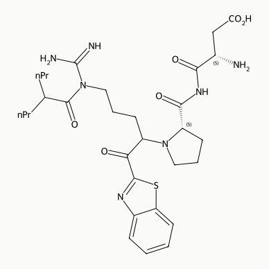 CCCC(CCC)C(=O)N(CCCC(C(=O)c1nc2ccccc2s1)N1CCC[C@H]1C(=O)NC(=O)[C@@H](N)CC(=O)O)C(=N)N